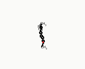 CCCCCC1CCC(C2CCC3CC(C4CCC(COc5ccc(OCC)c(F)c5F)CC4)CCC3C2)CC1